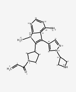 C=CC(=O)N1CCC(c2c(-c3cnn(C4CNC4)c3)c3c(N)ncnc3n2C)C1